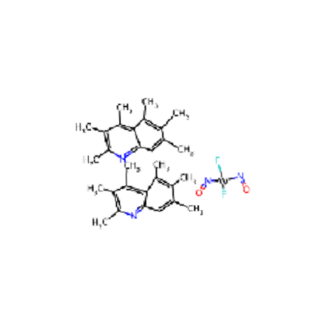 Cc1cc2nc(C)c(C)c(C)c2c(C)c1C.Cc1cc2nc(C)c(C)c(C)c2c(C)c1C.O=[N][W]([F])([F])[N]=O